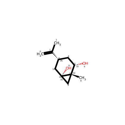 C=C(C)[C@@H]1C[C@H](O)[C@]2(C)C[C@@]2(O)C1